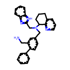 NCc1cc(CN(Cc2nc3ccccc3[nH]2)C2CCCc3cccnc32)ccc1-c1ccccc1